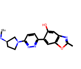 Cc1nc2cc(O)c(-c3ccc(N4CC[C@@H](NC(C)(C)C)C4)nn3)cc2o1